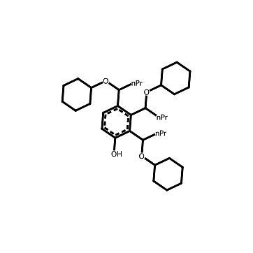 CCCC(OC1CCCCC1)c1ccc(O)c(C(CCC)OC2CCCCC2)c1C(CCC)OC1CCCCC1